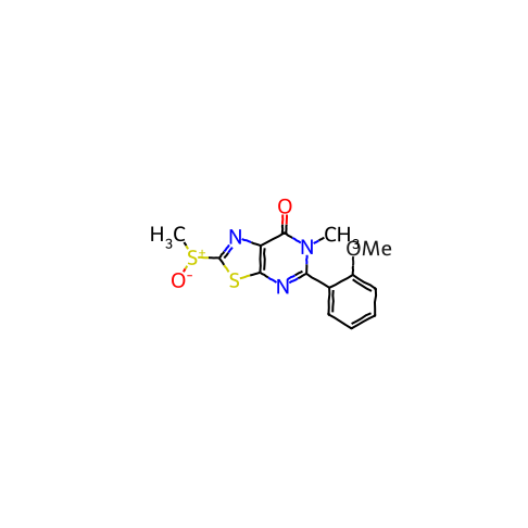 COc1ccccc1-c1nc2sc([S+](C)[O-])nc2c(=O)n1C